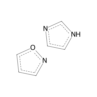 c1c[nH]cn1.c1cnoc1